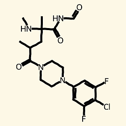 CNC(C)(CC(C)C(=O)N1CCN(c2cc(F)c(Cl)c(F)c2)CC1)C(=O)NC=O